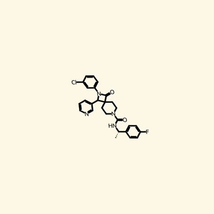 C[C@H](NC(=O)N1CCC2(CC1)C(=O)N(c1cccc(Cl)c1)C2c1cccnc1)c1ccc(F)cc1